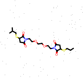 CCCSC1CC(=O)N(CCOCCOCCN2C(=O)CC(SCC(C)C)C2=O)C1=O